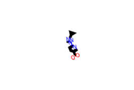 COC(=O)c1ccc(-n2cnc(C3CC3)n2)nc1